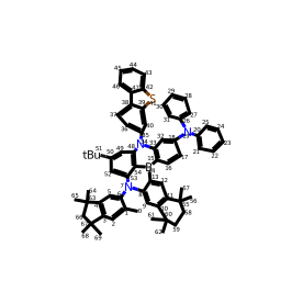 Cc1cc2c(cc1N1c3cc4c(cc3B3c5ccc(N(c6ccccc6)c6ccccc6)cc5N(c5ccc6c(c5)sc5ccccc56)c5cc(C(C)(C)C)cc1c53)C(C)(C)CCC4(C)C)C(C)(C)CC2(C)C